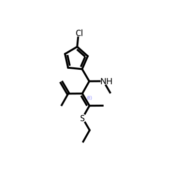 C=C(C)/C(=C(/C)SCC)C(NC)C1=C=C(Cl)C=C1